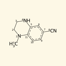 CN1CCNc2cc(C#N)ccc21